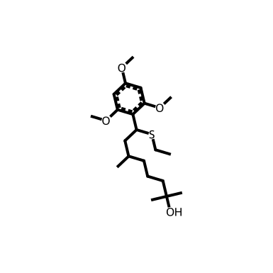 CCSC(CC(C)CCCC(C)(C)O)c1c(OC)cc(OC)cc1OC